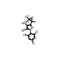 CC1(c2nn(-c3c(Cl)cc(Cl)cc3Cl)c(Br)c2C#N)CC1(Cl)Cl